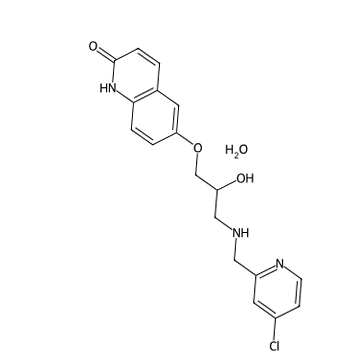 O.O=c1ccc2cc(OCC(O)CNCc3cc(Cl)ccn3)ccc2[nH]1